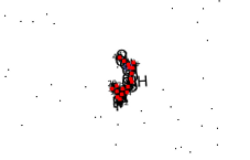 CCN(CCOC(=O)NS(=O)(=O)c1ccc(-n2nc(C(F)(F)F)cc2-c2ccc(C)cc2)cc1)/[N+]([O-])=N/OCOC(C)=O